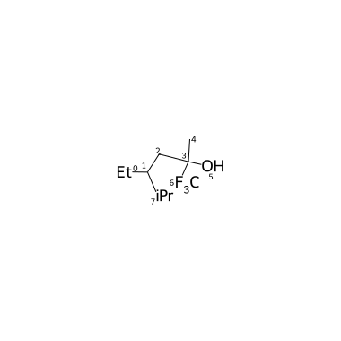 CCC(CC(C)(O)C(F)(F)F)C(C)C